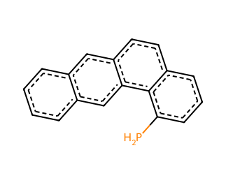 Pc1cccc2ccc3cc4ccccc4cc3c12